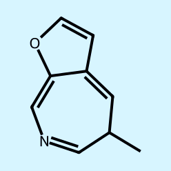 CC1C=NC=c2occc2=C1